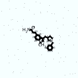 Cn1cc(CC2CCN(Cc3ccccc3)C2)c2cc(/C=C/C(N)=O)ccc21